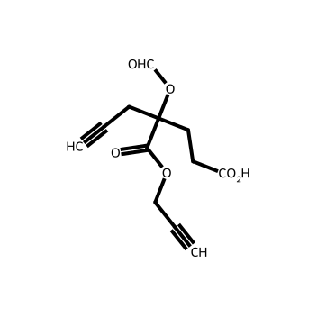 C#CCOC(=O)C(CC#C)(CCC(=O)O)OC=O